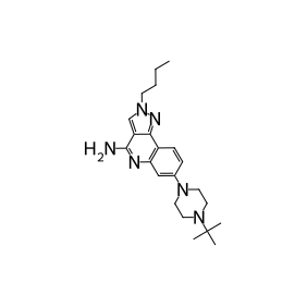 CCCCn1cc2c(N)nc3cc(N4CCN(C(C)(C)C)CC4)ccc3c2n1